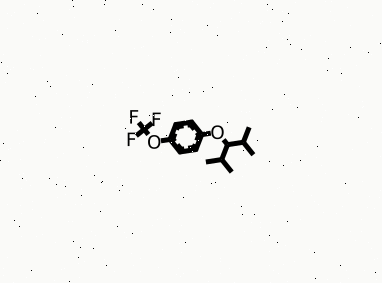 CC(C)C(Oc1ccc(OC(F)(F)F)cc1)C(C)C